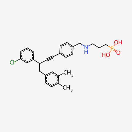 Cc1ccc(CC(C#Cc2ccc(CNCCCP(=O)(O)O)cc2)c2cccc(Cl)c2)cc1C